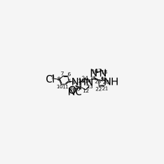 N#CC1(C(=O)Nc2ccc(Cl)cc2)CCN(c2ncnc3[nH]ccc23)CC1